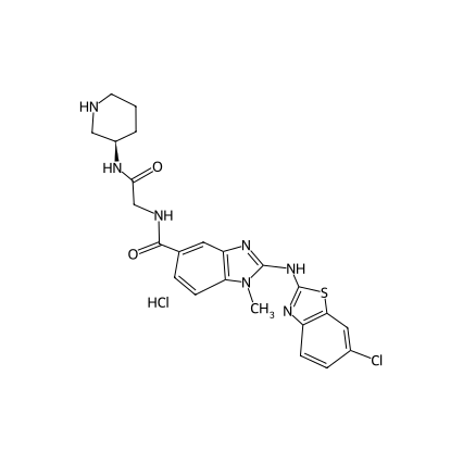 Cl.Cn1c(Nc2nc3ccc(Cl)cc3s2)nc2cc(C(=O)NCC(=O)N[C@@H]3CCCNC3)ccc21